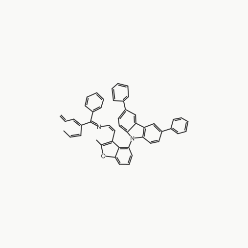 C=C/C=C(\C=C/C)C(=N/C=C\c1c(C)oc2cccc(-n3c4ccc(-c5ccccc5)cc4c4cc(-c5ccccc5)ccc43)c12)/c1ccccc1